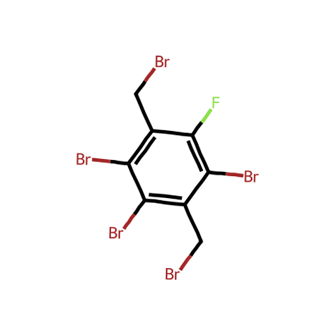 Fc1c(Br)c(CBr)c(Br)c(Br)c1CBr